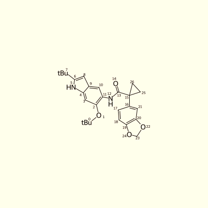 CC(C)(C)Oc1cc2[nH]c(C(C)(C)C)cc2cc1NC(=O)C1(c2ccc3c(c2)OCO3)CC1